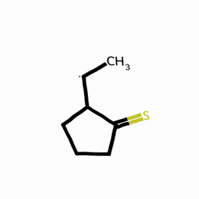 C[CH]C1CCCC1=S